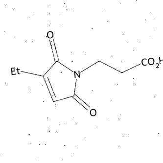 CCC1=CC(=O)N(CCC(=O)O)C1=O